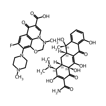 CN(C)[C@@H]1C(O)=C(C(N)=O)C(=O)[C@@]2(O)C(O)=C3C(=O)c4c(O)cccc4[C@@](C)(O)[C@H]3C[C@@H]12.CN1CCN(c2c(F)cc3c(=O)c(C(=O)O)cn4c3c2OCN4C)CC1